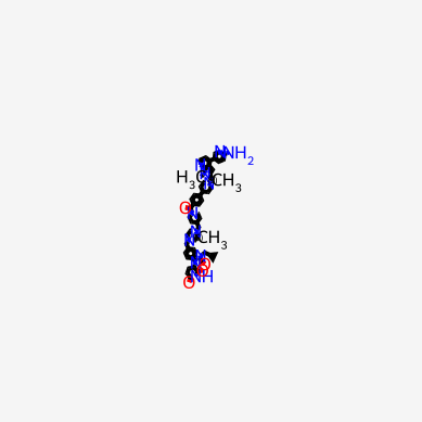 C[C@H]1CN(Cc2ccc3c(c2)n(CC2CC2)c(=O)n3C2CCC(=O)NC2=O)CCN1CC1CCN(C(=O)c2ccc(C3CCN([C@@H](C)c4cc5c(-c6ccc(N)nc6)ccnc5n4C)CC3)cc2)CC1